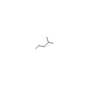 CCC(C)C[CH2][Gd]